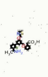 C[C@H](N)c1cccc(-c2cc(COc3ccccc3CC(=O)O)cc(OCc3nccs3)c2)c1F